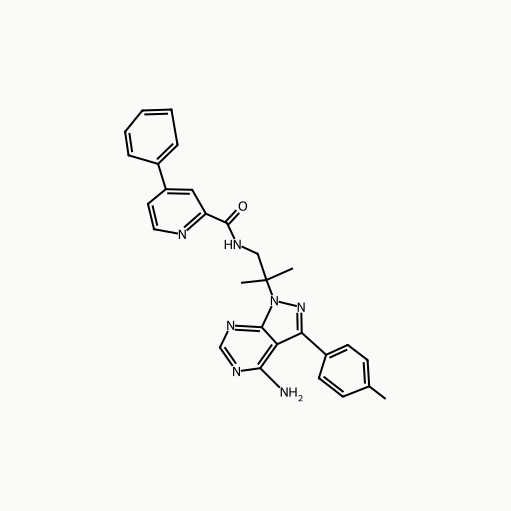 Cc1ccc(-c2nn(C(C)(C)CNC(=O)c3cc(-c4ccccc4)ccn3)c3ncnc(N)c23)cc1